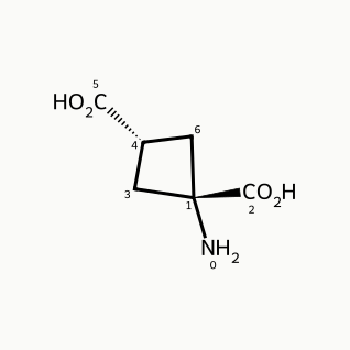 N[C@]1(C(=O)O)C[C@H](C(=O)O)C1